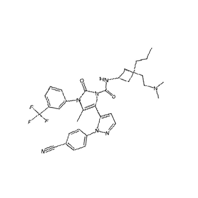 CCCC1(CCN(C)C)CC(NC(=O)n2c(-c3ccnn3-c3ccc(C#N)cc3)c(C)n(-c3cccc(C(F)(F)F)c3)c2=O)C1